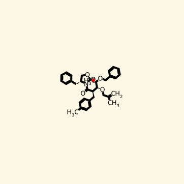 C=C(C)CO[C@@H]([C@H](C)OCc1ccccc1)[C@@H](Cc1ccc(C)cc1)C(=O)N1C(=O)OC[C@H]1Cc1ccccc1